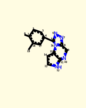 Cc1ccc(-c2nnc3cnc4[nH]ccc4n23)cc1C